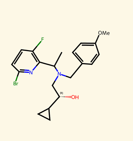 COc1ccc(CN(C[C@H](O)C2CC2)C(C)c2nc(Br)ccc2F)cc1